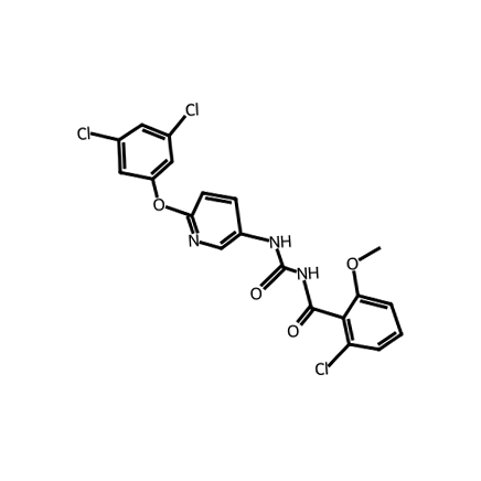 COc1cccc(Cl)c1C(=O)NC(=O)Nc1ccc(Oc2cc(Cl)cc(Cl)c2)nc1